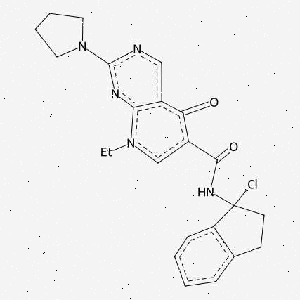 CCn1cc(C(=O)NC2(Cl)CCc3ccccc32)c(=O)c2cnc(N3CCCC3)nc21